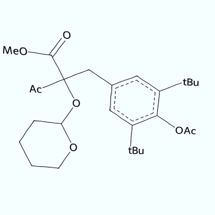 COC(=O)C(Cc1cc(C(C)(C)C)c(OC(C)=O)c(C(C)(C)C)c1)(OC1CCCCO1)C(C)=O